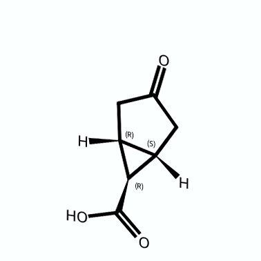 O=C1C[C@@H]2[C@H](C1)[C@H]2C(=O)O